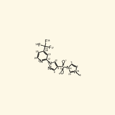 C[n+]1ccn(S(=O)(=O)c2cnn(-c3cc(C(F)(F)F)ccn3)c2)c1